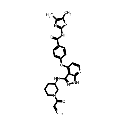 C=CC(=O)N1CCC[C@@H](Nc2n[nH]c3nccc(Oc4ccc(C(=O)Nc5nc(C)c(C)s5)cc4)c23)C1